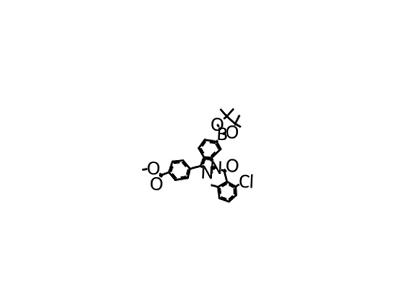 COC(=O)c1ccc(-c2nn(C(=O)c3c(C)cccc3Cl)c3cc(B4OC(C)(C)C(C)(C)O4)ccc23)cc1